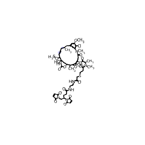 COc1cc2cc(c1Cl)N(C)C(=O)CC(OC(=O)[C@H](C)N(C)C(=O)CCSCC(=O)NCCNC(=O)CCC(CN1C(=O)C=CC1=O)N1C(=O)C=CC1=O)C1(C)OC1C(C)C1CC(O)(NC(=O)O1)C(OC)/C=C/C=C(\C)C2